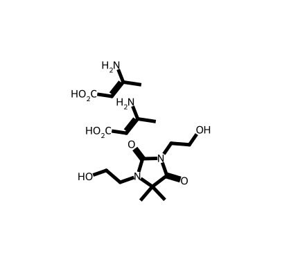 C/C(N)=C/C(=O)O.C/C(N)=C/C(=O)O.CC1(C)C(=O)N(CCO)C(=O)N1CCO